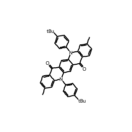 Cc1ccc2c(=O)c3cc4c(cc3n(-c3ccc(C(C)(C)C)cc3)c2c1)c(=O)c1ccc(C)cc1n4-c1ccc(C(C)(C)C)cc1